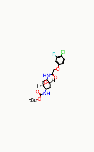 CC(C)(C)OC(=O)N[C@@H]1C[C@@H]2O[C@H]1C[C@H]2NC(=O)COc1ccc(Cl)c(F)c1